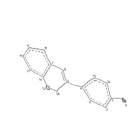 Brc1ccc(C2=Cc3ccccc3OC2)cc1